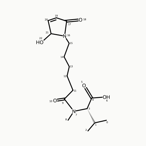 CC(C)[C@@H](C(=O)O)N(C)C(=O)CCCCCN1C(=O)C=CC1O